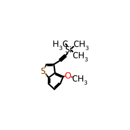 COc1cccc2scc(C#C[Si](C)(C)C)c12